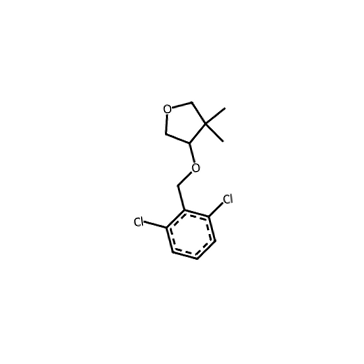 CC1(C)COCC1OCc1c(Cl)cccc1Cl